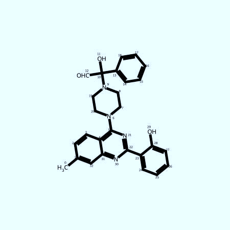 Cc1ccc2c(N3CCN(C(O)(C=O)c4ccccc4)CC3)nc(-c3ccccc3O)nc2c1